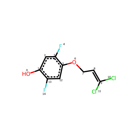 Oc1cc(F)c(OCC=C(Cl)Cl)cc1F